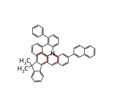 CC1(C)c2ccccc2-c2cc(N(c3cccc(-c4ccc5ccccc5c4)c3)c3cccc(-c4ccccc4)c3-c3ccccc3-c3ccccc3)ccc21